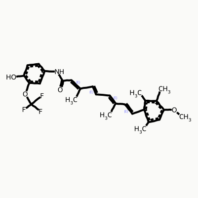 COc1cc(C)c(/C=C/C(C)=C/C=C/C(C)=C/C(=O)Nc2ccc(O)c(OC(F)(F)F)c2)c(C)c1C